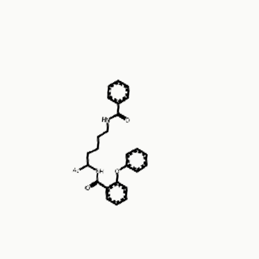 CC(=O)C(CCCCNC(=O)c1ccccc1)NC(=O)c1ccccc1Oc1ccccc1